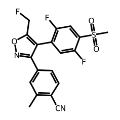 Cc1cc(-c2noc(CF)c2-c2cc(F)c(S(C)(=O)=O)cc2F)ccc1C#N